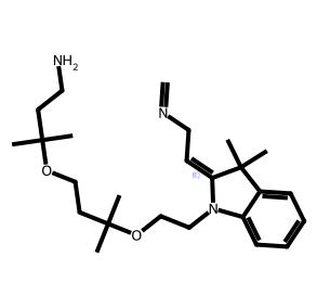 C=NC/C=C1/N(CCOC(C)(C)CCOC(C)(C)CCN)c2ccccc2C1(C)C